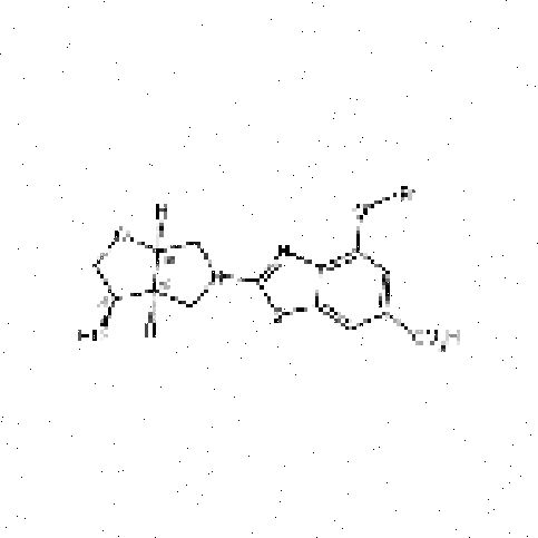 CC(C)Oc1cc(C(=O)O)cc2sc(N3C[C@@H]4[C@H](C3)OC[C@@H]4O)nc12